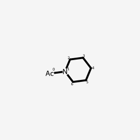 [CH2]C(=O)N1CCCCC1